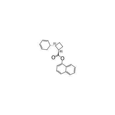 O=C(Oc1cccc2ccccc12)[C@@H]1CC[C@H]1C1C=CC=CC1